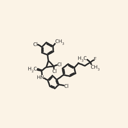 C=C(Nc1ccc(Cl)c(-c2ccc(CCC(C)(C)F)cc2)c1)C1C(c2cc(C)cc(Cl)c2)C1(Cl)Cl